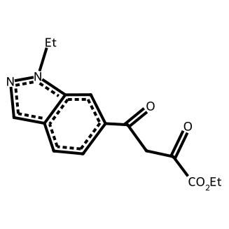 CCOC(=O)C(=O)CC(=O)c1ccc2cnn(CC)c2c1